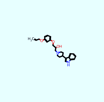 C=CCOc1cccc(OCC(O)CN2CCC(c3c[nH]c4ccccc34)CC2)c1